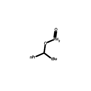 CCCC(O[PH2]=O)C(C)(C)C